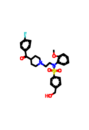 COc1ccccc1N(CCN1CCC(C(=O)c2ccc(F)cc2)CC1)S(=O)(=O)c1ccc(CO)cc1